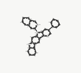 c1ccc(-c2cnc3c4cc5c(cc4n(-c4cc6ccccc6cn4)c3c2)sc2ccccc25)cc1